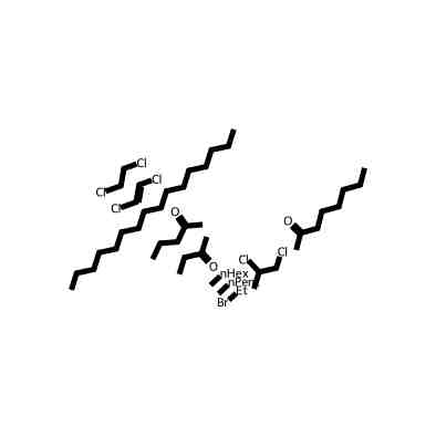 CC(Cl)CCl.CCBr.CCC(C)=O.CCCC(C)=O.CCCCCC.CCCCCCC.CCCCCCC(C)=O.CCCCCCCCCCCCCCCC.ClC=CCl.ClCCCl